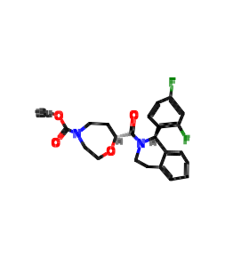 CC(C)(C)OC(=O)N1CCO[C@@H](C(=O)N2CCc3ccccc3[C@@H]2c2ccc(F)cc2F)CC1